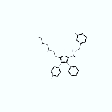 CC(C)n1c(CCC(O)CC(O)CC(=O)O)c(-c2ccc(F)cc2)c(-c2ccccc2)c1C(=O)NCc1cccc(C(=O)O)c1